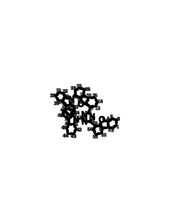 c1ccc2c(c1)oc1c(-c3nc(-c4cccc5c4oc4c(-n6c7ccccc7c7ccccc76)cccc45)nc(-n4c5ccccc5c5ccccc54)n3)cccc12